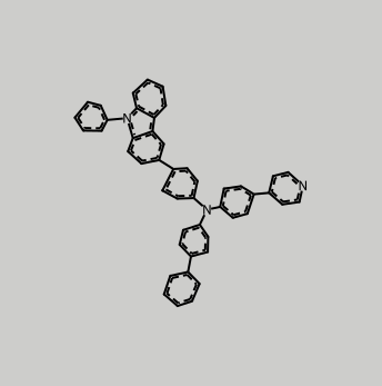 c1ccc(-c2ccc(N(c3ccc(-c4ccncc4)cc3)c3ccc(-c4ccc5c(c4)c4ccccc4n5-c4ccccc4)cc3)cc2)cc1